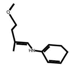 COCC/C(C)=C/NC1=CCCC=C1